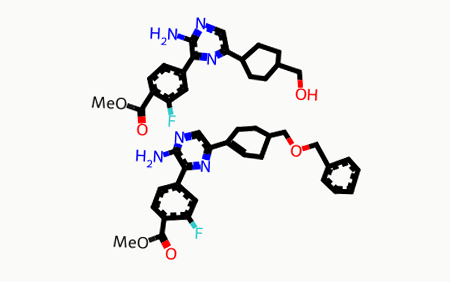 COC(=O)c1ccc(-c2nc(C3=CCC(COCc4ccccc4)CC3)cnc2N)cc1F.COC(=O)c1ccc(-c2nc(C3CCC(CO)CC3)cnc2N)cc1F